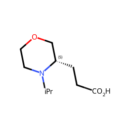 CC(C)N1CCOC[C@@H]1CCC(=O)O